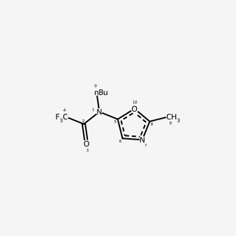 CCCCN(C(=O)C(F)(F)F)c1cnc(C)o1